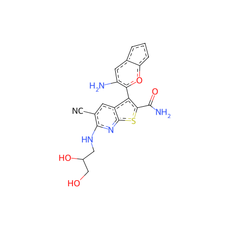 N#Cc1cc2c(-c3oc4cccc-4cc3N)c(C(N)=O)sc2nc1NCC(O)CO